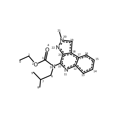 CCOC(=O)N(CC(C)C)c1nc2ccccc2c2cn(C)nc12